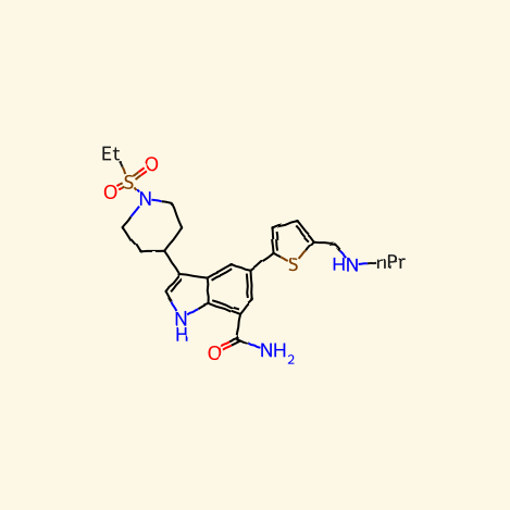 CCCNCc1ccc(-c2cc(C(N)=O)c3[nH]cc(C4CCN(S(=O)(=O)CC)CC4)c3c2)s1